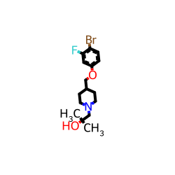 CC(C)(O)CN1CCC(COc2ccc(Br)c(F)c2)CC1